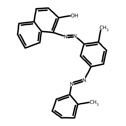 Cc1ccccc1N=Nc1ccc(C)c(N=Nc2c(O)ccc3ccccc23)c1